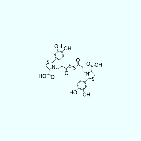 O=C(CCN1C(C(=O)O)CSC1c1ccc(O)c(O)c1)SSC(=O)CCN1C(C(=O)O)CSC1c1ccc(O)c(O)c1